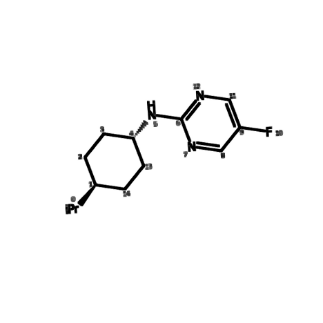 CC(C)[C@H]1CC[C@H](Nc2ncc(F)cn2)CC1